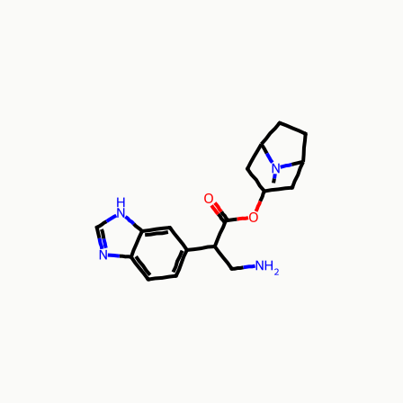 CN1C2CCC1CC(OC(=O)C(CN)c1ccc3nc[nH]c3c1)C2